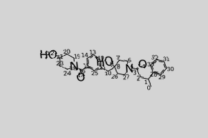 CC(CC(=O)N1CCC(O)(Cc2cccc(C(=O)N3CCC(O)CC3)c2)CC1)c1ccccc1